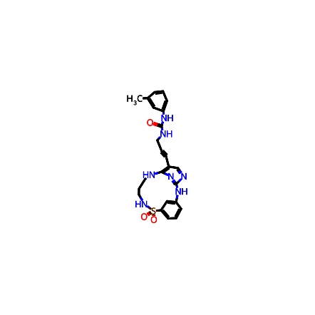 Cc1cccc(NC(=O)NCC#Cc2cnc3nc2NCCCNS(=O)(=O)c2cccc(c2)N3)c1